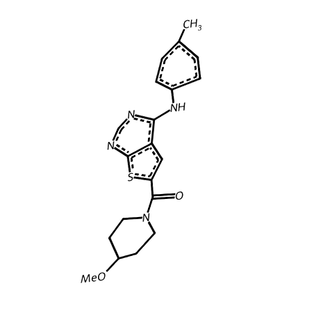 COC1CCN(C(=O)c2cc3c(Nc4ccc(C)cc4)ncnc3s2)CC1